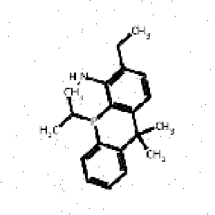 CCc1ccc2c(c1N)P(C(C)C)c1ccccc1C2(C)C